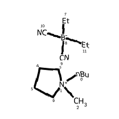 CCCC[N+]1(C)CCCC1.CC[B-](C#N)(C#N)CC